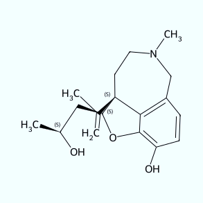 C=C(C)[C@@]12CCN(C)Cc3ccc(O)c(c31)O[C@H]2C[C@H](C)O